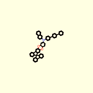 C1=CC2Oc3cc4c(cc3OC2C=C1N(c1ccc(-c2ccc(-c3ccccc3)cc2)cc1)c1ccc2ccccc2c1)-c1ccccc1C41c2ccccc2-c2ccccc21